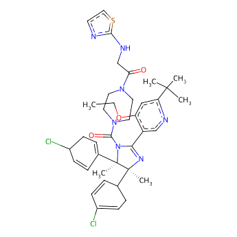 CCOc1cc(C(C)(C)C)ncc1C1=N[C@@](C)(C2C=CC(Cl)=CC2)[C@@](C)(C2=CCC(Cl)C=C2)N1C(=O)N1CCN(C(=O)CNc2nccs2)CC1